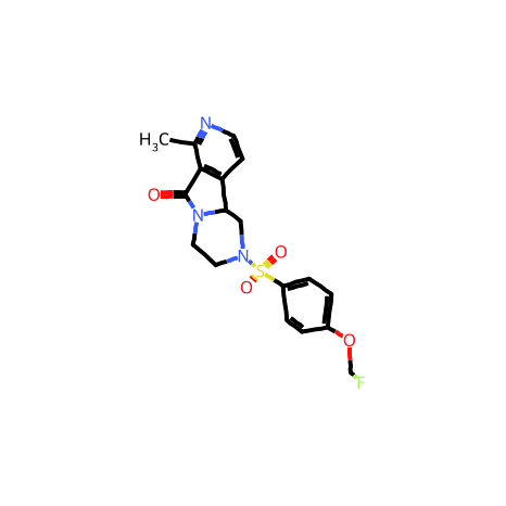 Cc1nccc2c1C(=O)N1CCN(S(=O)(=O)c3ccc(OCF)cc3)CC21